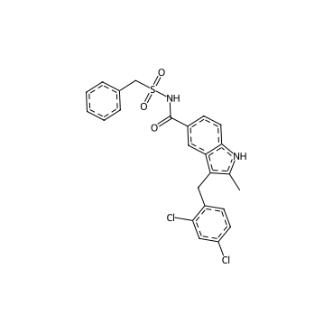 Cc1[nH]c2ccc(C(=O)NS(=O)(=O)Cc3ccccc3)cc2c1Cc1ccc(Cl)cc1Cl